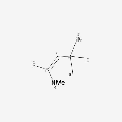 CN/C(C)=C\C(C)(C)C(C)C